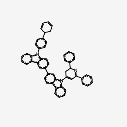 C1=CCC(c2ccc(-n3c4ccccc4c4cc(-c5ccc6c7ccccc7n(C7=CC(c8ccccc8)=NC(c8ccccc8)C7)c6c5)ccc43)cc2)C=C1